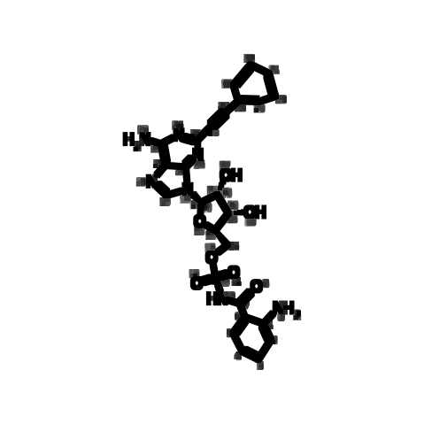 Nc1ccccc1C(=O)NS(=O)(=O)OC[C@H]1O[C@@H](n2cnc3c(N)nc(C#Cc4ccccc4)nc32)[C@H](O)[C@@H]1O